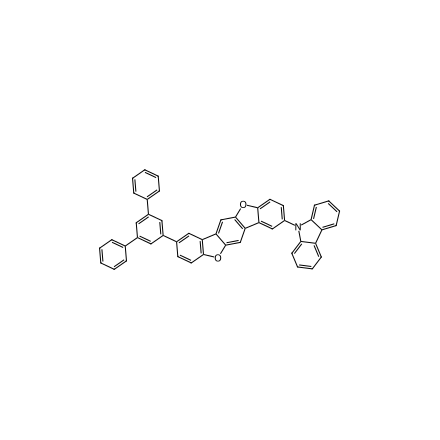 c1ccc(-c2cc(-c3ccccc3)cc(-c3ccc4oc5cc6c(cc5c4c3)oc3ccc(-n4c5ccccc5c5ccccc54)cc36)c2)cc1